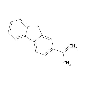 C=C(C)c1ccc2c(c1)Cc1ccccc1-2